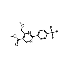 COCc1nc(-c2ccc(C(F)(F)F)cc2)ncc1C(=O)OC